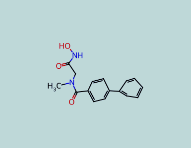 CN(CC(=O)NO)C(=O)c1ccc(-c2ccccc2)cc1